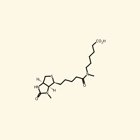 CN(CCCCCC(=O)O)C(=O)CCCC[C@@H]1SC[C@@H]2NC(=O)N(C)[C@@H]21